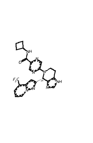 O=C(NC1CCC1)c1cnc(N2CCc3[nH]cnc3[C@@H]2c2cc3c(C(F)(F)F)cccn3n2)cn1